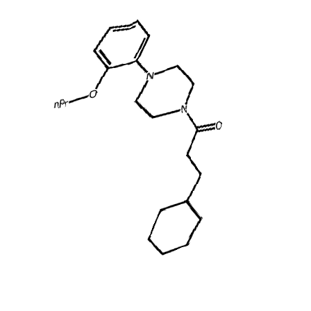 CCCOc1ccccc1N1CCN(C(=O)CCC2CCCCC2)CC1